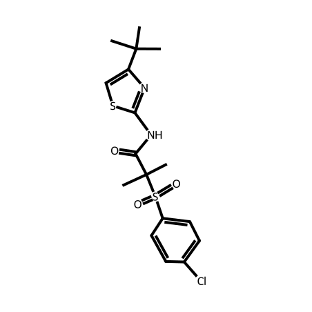 CC(C)(C)c1csc(NC(=O)C(C)(C)S(=O)(=O)c2ccc(Cl)cc2)n1